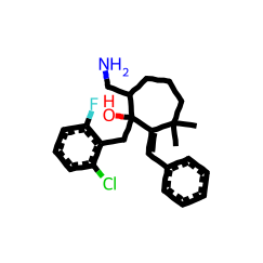 CC1(C)CCCC(CN)C(O)(Cc2c(F)cccc2Cl)C1=Cc1ccccc1